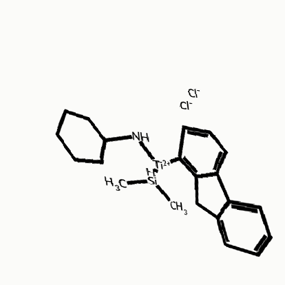 C[SiH](C)[Ti+2]([NH]C1CCCCC1)[c]1cccc2c1Cc1ccccc1-2.[Cl-].[Cl-]